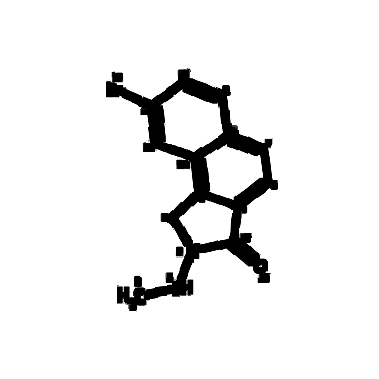 CBN1Cc2c(ccc3ccc(Br)cc23)C1=O